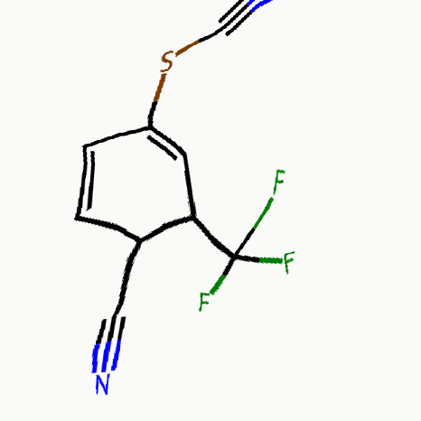 N#CSC1=CC(C(F)(F)F)C(C#N)C=C1